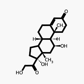 C[C@]12CCC(=O)C=C1CC[C@H]1C3CC[C@](O)(C(=O)CO)[C@@]3(C)C[C@H](O)[C@@H]12